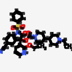 CCOc1ncccc1C1(OC(=O)N2CCC(C3CCN(CC)CC3)CC2)C(=O)N(S(=O)(=O)c2ccccc2)c2ccc(C#N)cc21